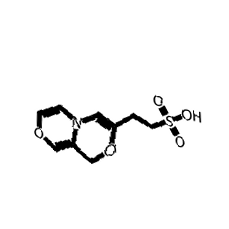 O=S(=O)(O)CCC1=CN2C=COC=C2CO1